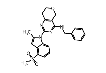 Cc1cc2c(S(C)(=O)=O)cccc2n1-c1nc2c(c(NCc3ccccc3)n1)COCC2